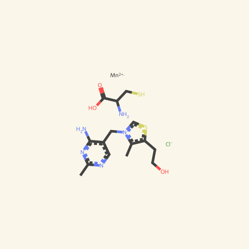 Cc1ncc(C[n+]2csc(CCO)c2C)c(N)n1.NC(CS)C(=O)O.[Cl-].[Mn+2]